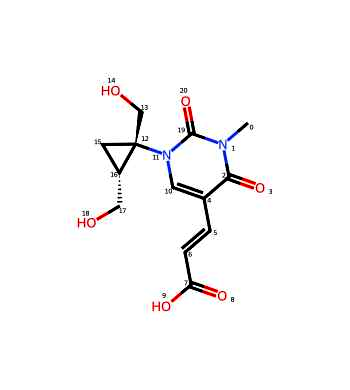 Cn1c(=O)c(/C=C/C(=O)O)cn([C@@]2(CO)C[C@H]2CO)c1=O